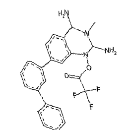 CN1C(N)c2ccc(-c3cccc(-c4ccccc4)c3)cc2N(OC(=O)C(F)(F)F)C1N